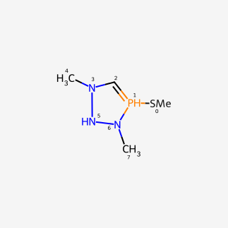 CS[PH]1=CN(C)NN1C